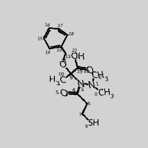 CN(C)N(C(=O)CCS)C(C)(OCc1ccccc1)C(=O)O